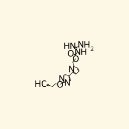 C#CCCOc1ncc(-c2cccc(COC(=O)NC(=N)N)n2)cn1